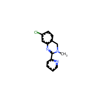 CN1Cc2ccc(Cl)cc2N=C1c1ccccn1